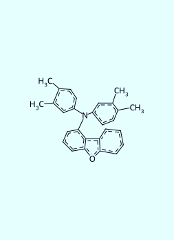 Cc1ccc(N(c2ccc(C)c(C)c2)c2cccc3oc4ccccc4c23)cc1C